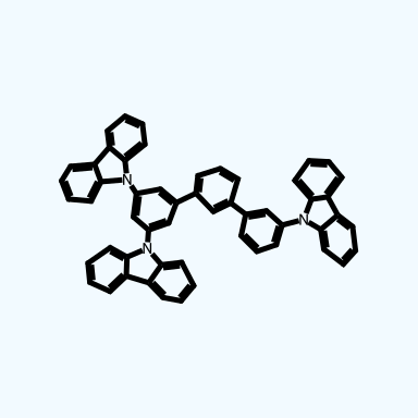 c1cc(-c2cccc(-n3c4ccccc4c4ccccc43)c2)cc(-c2cc(-n3c4ccccc4c4ccccc43)cc(-n3c4ccccc4c4ccccc43)c2)c1